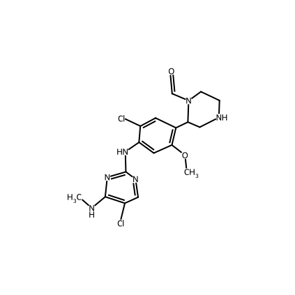 CNc1nc(Nc2cc(OC)c(C3CNCCN3C=O)cc2Cl)ncc1Cl